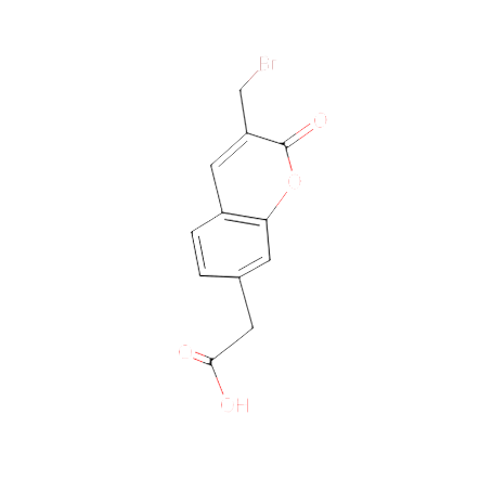 O=C(O)Cc1ccc2cc(CBr)c(=O)oc2c1